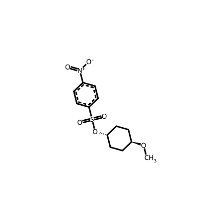 CO[C@H]1CC[C@H](OS(=O)(=O)c2ccc([N+](=O)[O-])cc2)CC1